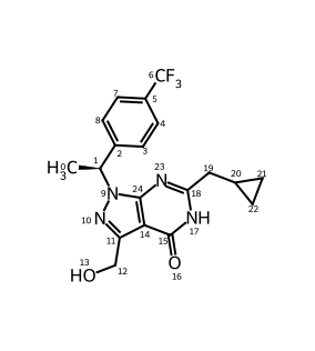 C[C@@H](c1ccc(C(F)(F)F)cc1)n1nc(CO)c2c(=O)[nH]c(CC3CC3)nc21